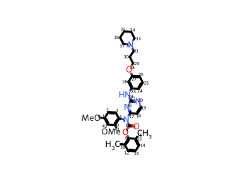 COc1ccc(N(C(=O)Oc2c(C)cccc2C)c2ccnc(Nc3cccc(OCCCN4CCCCC4)c3)n2)c(OC)c1